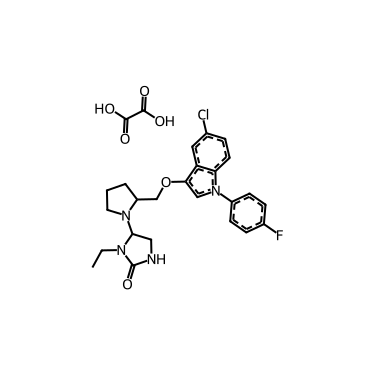 CCN1C(=O)NCC1N1CCCC1COc1cn(-c2ccc(F)cc2)c2ccc(Cl)cc12.O=C(O)C(=O)O